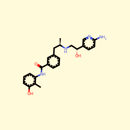 Cc1c(O)cccc1NC(=O)c1cccc(C[C@@H](C)NC[C@@H](O)c2ccc(N)nc2)c1